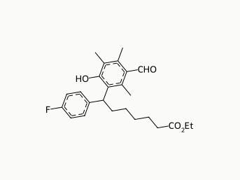 CCOC(=O)CCCCCC(c1ccc(F)cc1)c1c(C)c(C=O)c(C)c(C)c1O